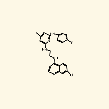 Cc1cc(Nc2ccc(F)cc2)nc(NCCNc2ccnc3cc(Cl)ccc23)n1